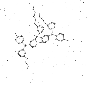 CCCCCCc1cccc(C2(C)c3cc(N(c4ccc(C)cc4)c4cccc(CCCC)c4)ccc3-c3ccc(N(c4ccc(C)cc4)c4cccc(CCCC)c4)cc32)c1